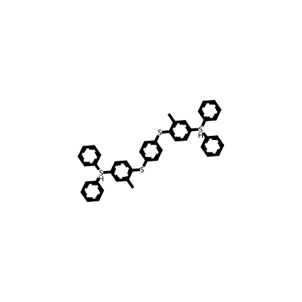 Cc1cc([SH](c2ccccc2)c2ccccc2)ccc1Sc1ccc(Sc2ccc([SH](c3ccccc3)c3ccccc3)cc2C)cc1